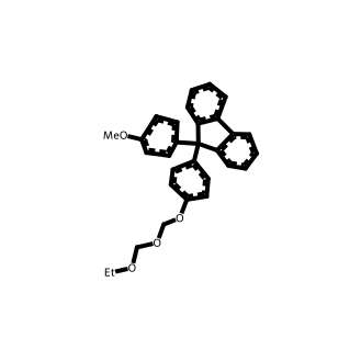 CCOCOCOc1ccc(C2(c3ccc(OC)cc3)c3ccccc3-c3ccccc32)cc1